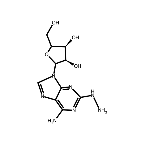 NNc1nc(N)c2ncn(C3OC(CO)[C@@H](O)[C@H]3O)c2n1